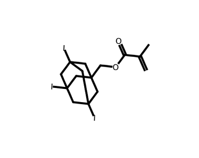 C=C(C)C(=O)OCC12CC3(I)CC(I)(CC(I)(C3)C1)C2